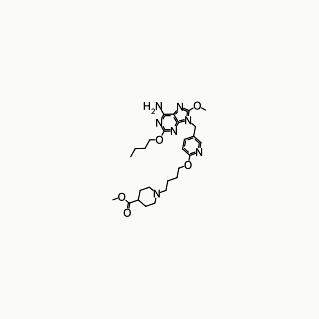 CCCCOc1nc(N)c2nc(OC)n(Cc3ccc(OCCCCN4CCC(C(=O)OC)CC4)nc3)c2n1